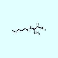 CSCCCO/N=C(\N)NN